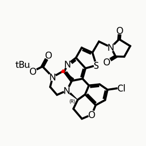 CC(C)(C)OC(=O)N1CCN([C@@H]2CCOc3cc(Cl)cc(-c4ccnc5cc(CN6C(=O)CCC6=O)sc45)c32)CC1